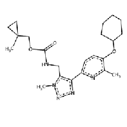 Cc1nc(-c2nnn(C)c2CNC(=O)OCC2(C)CC2)ccc1OC1CCCCC1